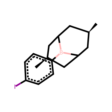 C[C@H]1CC2C[C@@H](C)CC(C1)B2c1ccc(I)cc1